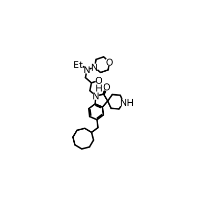 CCN(CC(O)CN1C(=O)C2(CCNCC2)c2cc(CC3CCCCCCC3)ccc21)N1CCOCC1